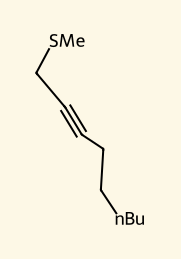 [CH2]CCCCCC#CCSC